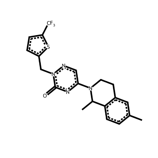 Cc1ccc2c(c1)CCN(c1cnn(Cc3ccc(C(F)(F)F)s3)c(=O)n1)C2C